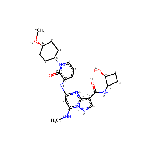 CNc1cc(Nc2cccn([C@H]3CC[C@H](OC)CC3)c2=O)nc2c(C(=O)NC3CC[C@@H]3O)cnn12